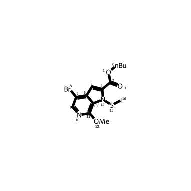 CCCCOC(=O)c1cc2c(Br)cnc(OC)c2n1SI